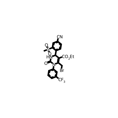 CCOC(=O)C1=C(CBr)N(c2cccc(C(F)(F)F)c2)C(=O)NC1c1ccc(C#N)cc1S(C)(=O)=O